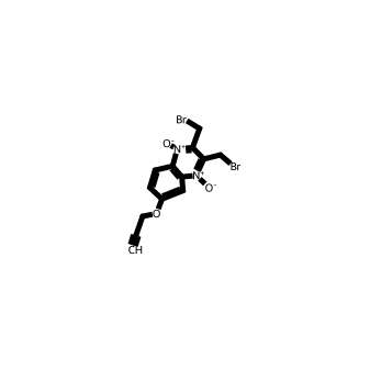 C#CCOc1ccc2c(c1)[n+]([O-])c(CBr)c(CBr)[n+]2[O-]